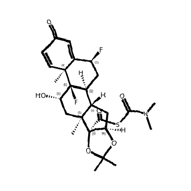 CN(C)C(=O)SC(=O)[C@@]12OC(C)(C)O[C@@H]1C[C@H]1[C@@H]3C[C@H](F)C4=CC(=O)C=C[C@]4(C)[C@@]3(F)[C@@H](O)C[C@@]12C